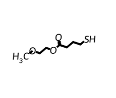 COCCOC(=O)CCCS